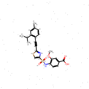 COc1cc(C(=O)O)ccc1NS(=O)(=O)c1csc(C#Cc2ccc(C)cc2C(C)C)n1